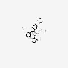 COc1cc(CN2CCOCC2)cc(OC)c1[C@@](Cc1ccccc1)(NC(=O)c1c(Cl)cccc1Cl)C(=O)O